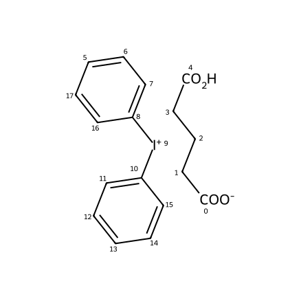 O=C([O-])CCCC(=O)O.c1ccc([I+]c2ccccc2)cc1